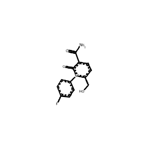 NC(=O)c1ccc(CO)n(-c2ccc(F)cc2)c1=O